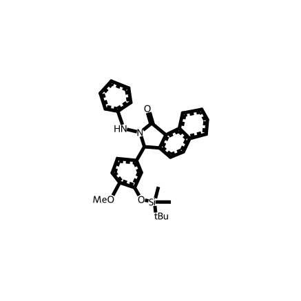 COc1ccc(C2c3ccc4ccccc4c3C(=O)N2Nc2ccccc2)cc1O[Si](C)(C)C(C)(C)C